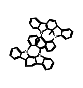 CC12c3c(c4ccccc4n3-c3ccc(-n4c5ccccc5c5ccc6c7ccccc7n(-c7ccccc7)c6c54)cc3)C=CC1c1ccccc1N2c1ccccc1